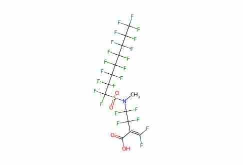 CN(C(F)(F)C(F)(F)C(C(=O)O)=C(F)F)S(=O)(=O)C(F)(F)C(F)(F)C(F)(F)C(F)(F)C(F)(F)C(F)(F)C(F)(F)C(F)(F)F